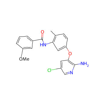 COc1cccc(C(=O)Nc2cc(Oc3cc(Cl)cnc3N)ccc2C)c1